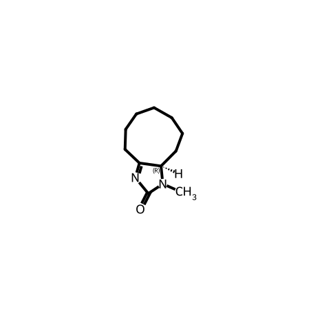 CN1C(=O)N=C2CCCCCCC[C@H]21